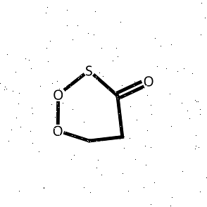 O=C1CCOOS1